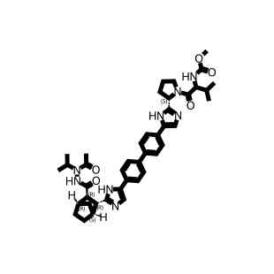 COC(=O)NC(C(=O)N1CCC[C@H]1c1ncc(-c2ccc(-c3ccc(-c4cnc([C@@H]5[C@H]6CC[C@H](C6)[C@H]5C(=O)NN(C(C)=O)C(C)C)[nH]4)cc3)cc2)[nH]1)C(C)C